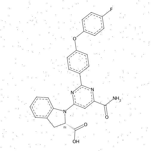 NC(=O)c1cc(N2c3ccccc3C[C@H]2C(=O)O)nc(-c2ccc(Oc3ccc(F)cc3)cc2)n1